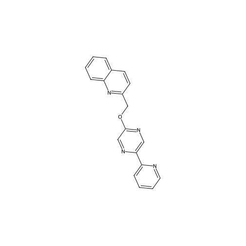 c1ccc(-c2cnc(OCc3ccc4ccccc4n3)cn2)nc1